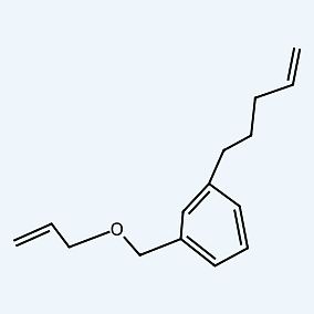 C=CCCCc1cccc(COCC=C)c1